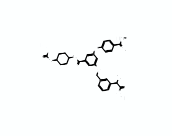 CC(C)(C)OC(=O)NC1CCC(NC(=O)c2cc(OCc3cccc(C(N)C(=O)OC(C)(C)C)c3)cc(Oc3ccc(C(=N)NO)cc3)c2)CC1